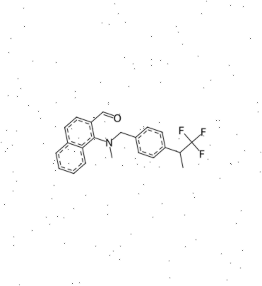 CC(c1ccc(CN(C)c2c(C=O)ccc3ccccc23)cc1)C(F)(F)F